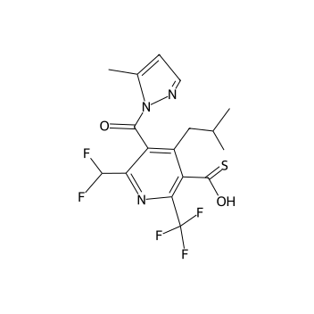 Cc1ccnn1C(=O)c1c(C(F)F)nc(C(F)(F)F)c(C(O)=S)c1CC(C)C